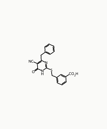 N#Cc1c(Cc2ccccc2)nc(SCc2cccc(C(=O)O)c2)[nH]c1=O